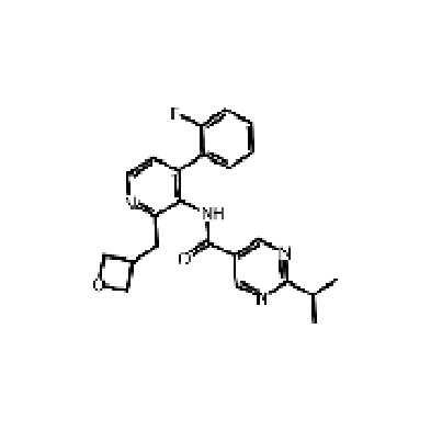 CC(C)c1ncc(C(=O)Nc2c(-c3ccccc3F)ccnc2CC2COC2)cn1